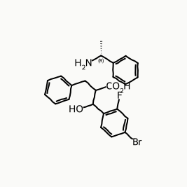 C[C@@H](N)c1ccccc1.O=C(O)C(Cc1ccccc1)C(O)c1ccc(Br)cc1F